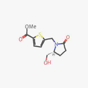 COC(=O)c1ccc(CN2C(=O)CC[C@@H]2CO)s1